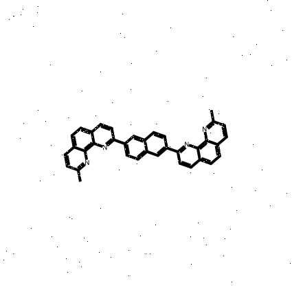 Cc1ccc2ccc3ccc(-c4ccc5cc(-c6ccc7ccc8ccc(C)nc8c7n6)ccc5c4)nc3c2n1